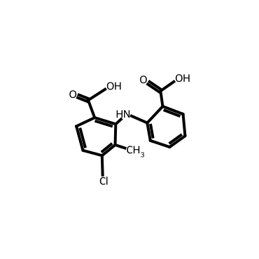 Cc1c(Cl)ccc(C(=O)O)c1Nc1ccccc1C(=O)O